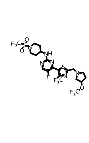 CS(=O)(=O)N1CCC(Nc2ncc(F)c(-c3sc(CN4CCC(OC(F)(F)F)C4)nc3C(F)(F)F)n2)CC1